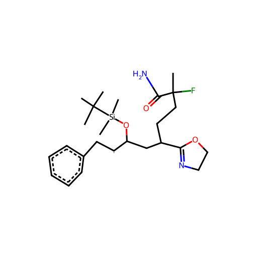 CC(F)(CCC(CC([CH]Cc1ccccc1)O[Si](C)(C)C(C)(C)C)C1=NCCO1)C(N)=O